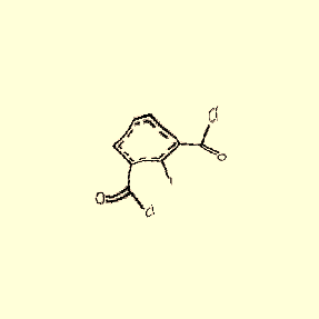 O=C(Cl)c1cccc(C(=O)Cl)c1I